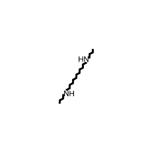 CCCCNCCCCCCCCCCCCNCCCC